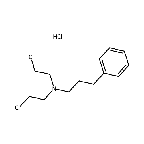 Cl.ClCCN(CCCl)CCCc1ccccc1